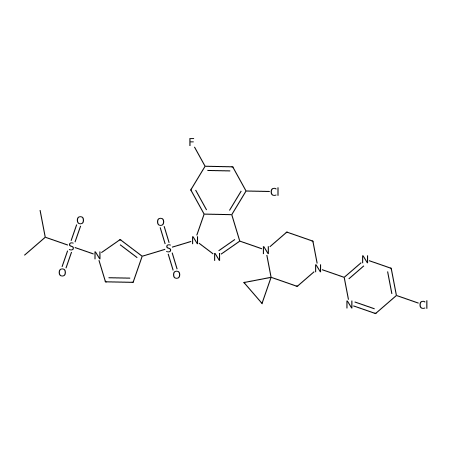 CC(C)S(=O)(=O)n1ccc(S(=O)(=O)n2nc(N3CCN(c4ncc(Cl)cn4)CC34CC4)c3c(Cl)cc(F)cc32)c1